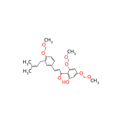 COCOc1cc(O)c(C(=O)C=Cc2ccc(OCOC)c(CC=C(C)C)c2)c(OCOC)c1